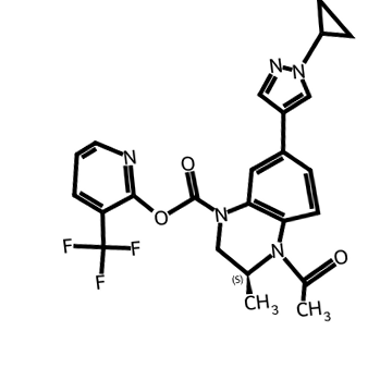 CC(=O)N1c2ccc(-c3cnn(C4CC4)c3)cc2N(C(=O)Oc2ncccc2C(F)(F)F)C[C@@H]1C